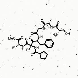 COC(=O)[C@@H](NC(=O)[C@@](NC(=O)C1CCCC1)(C(=O)C(Cc1ccccc1)NC(=O)[C@H](C)NC(=O)[C@H](C)NC(=O)[C@@H](N)CO)C(C)C)C(C)C